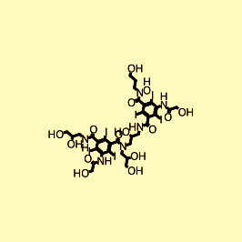 O=C(CO)Nc1c(I)c(C(=O)NCC(O)CN(CC(O)CO)C(=O)c2c(I)c(NC(=O)CO)c(I)c(C(=O)NCC(O)CO)c2I)c(I)c(C(=O)N(O)CCCO)c1I